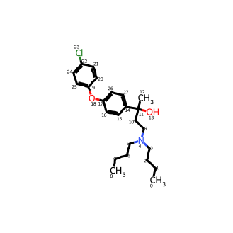 CCCCN(CCCC)CCC(C)(O)c1ccc(Oc2ccc(Cl)cc2)cc1